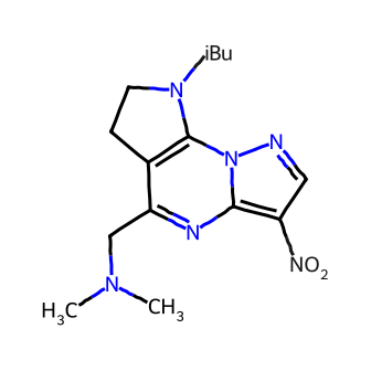 CCC(C)N1CCc2c(CN(C)C)nc3c([N+](=O)[O-])cnn3c21